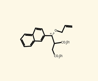 C=CCO[C@@H](c1ccc2ccccc2c1)C(CC(=O)OCC)C(=O)OCC